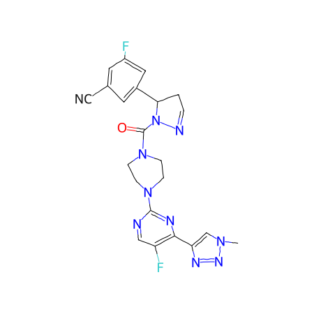 Cn1cc(-c2nc(N3CCN(C(=O)N4N=CCC4c4cc(F)cc(C#N)c4)CC3)ncc2F)nn1